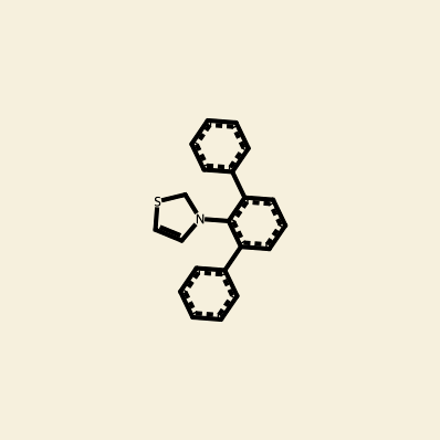 C1=CN(c2c(-c3ccccc3)cccc2-c2ccccc2)CS1